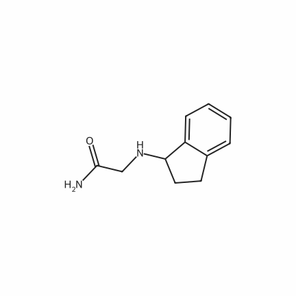 NC(=O)CNC1CCc2ccccc21